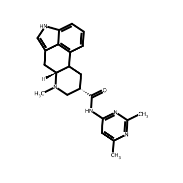 Cc1cc(NC(=O)[C@H]2CC3c4cccc5[nH]cc(c45)C[C@H]3N(C)C2)nc(C)n1